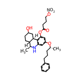 C[C@H](CCCc1ccccc1)Oc1cc2c(c(OC(=O)CCCO[N+](=O)[O-])c1)[C@@H]1C[C@H](O)CC[C@H]1[C@H](C)N2